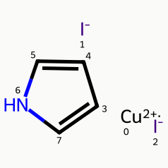 [Cu+2].[I-].[I-].c1cc[nH]c1